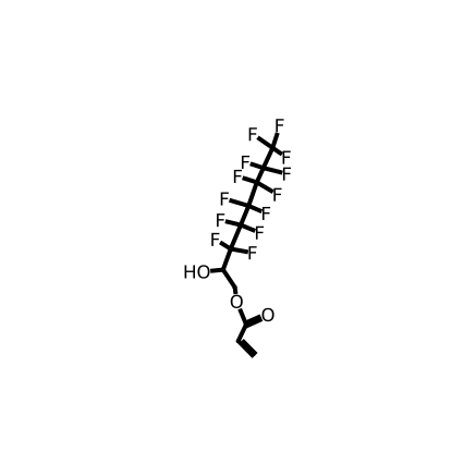 C=CC(=O)OCC(O)C(F)(F)C(F)(F)C(F)(F)C(F)(F)C(F)(F)C(F)(F)F